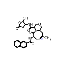 C/C1=C/CC(NC(=O)c2ccc3ccccc3c2)C(=O)N2C(COCC2C(=O)NC2CC(=O)OC2O)C1